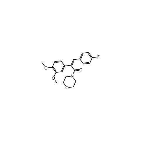 COc1ccc(/C(=C/c2ccc(F)cc2)C(=O)N2CCOCC2)cc1OC